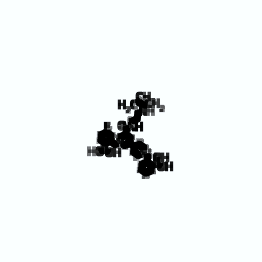 C=C(C)C(=C)NCCCNC(=O)c1cc(-c2cc[n+](Cc3ccccc3B(O)O)cc2)c[n+](Cc2cc(F)ccc2B(O)O)c1